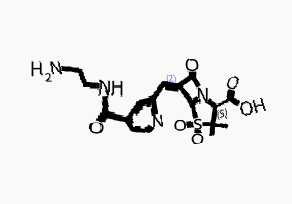 CC1(C)[C@H](C(=O)O)N2C(=O)/C(=C/c3cc(C(=O)NCCN)ccn3)C2S1(=O)=O